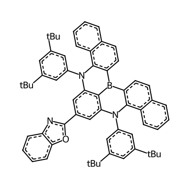 CC(C)(C)c1cc(N2c3cc(-c4nc5ccccc5o4)cc4c3B(c3ccc5ccccc5c32)c2ccc3ccccc3c2N4c2cc(C(C)(C)C)cc(C(C)(C)C)c2)cc(C(C)(C)C)c1